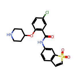 O=C(Nc1ccc2c(c1)S(=O)(=O)C=C2)c1cc(Cl)ccc1OC1CCNCC1